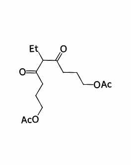 CCC(C(=O)CCCOC(C)=O)C(=O)CCCOC(C)=O